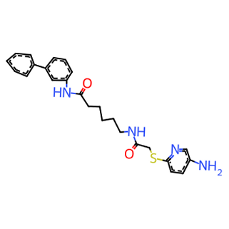 Nc1ccc(SCC(=O)NCCCCCC(=O)Nc2cccc(-c3ccccc3)c2)nc1